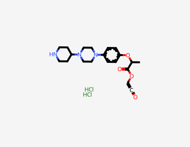 CC(Oc1ccc(N2CCN(C3CCNCC3)CC2)cc1)C(=O)OC=C=O.Cl.Cl